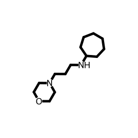 C1CCCC(NCCCN2CCOCC2)CC1